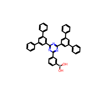 OB(O)c1cccc(-c2nc(-c3cc(-c4ccccc4)cc(-c4ccccc4)c3)nc(-c3cc(-c4ccccc4)cc(-c4ccccc4)c3)n2)c1